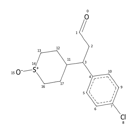 O=CCC(c1ccc(Cl)cc1)C1CC[S+]([O-])CC1